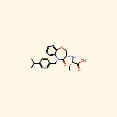 CC[C@H](N[C@H]1COc2ccccc2N(Cc2ccc(C(C)C)cc2)C1=O)C(=O)O